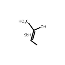 CC=C(O)C(=O)O.[SbH3]